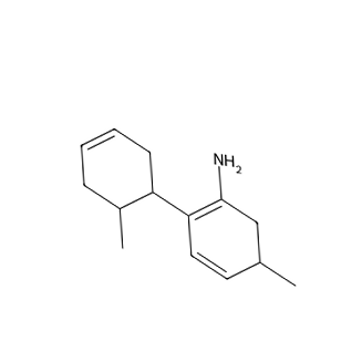 CC1C=CC(C2CC=CCC2C)=C(N)C1